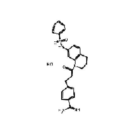 Cl.N=C(N)c1ccc(CCC(=O)N2CCCc3ccc(NS(=O)(=O)c4ccccc4)cc32)cc1